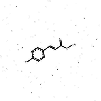 CCCOC(=O)/C=C/c1ccc(Cl)cc1